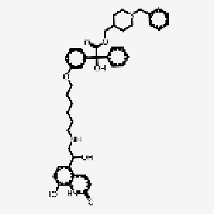 O=C(OCC1CCN(Cc2ccccc2)CC1)C(O)(c1ccccc1)c1cccc(OCCCCCCNCC(O)c2ccc(O)c3[nH]c(=O)ccc23)c1